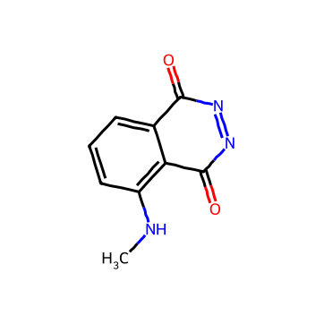 CNc1cccc2c1C(=O)N=NC2=O